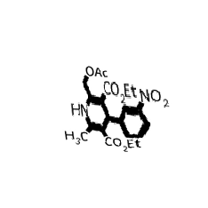 CCOC(=O)C1=C(C)NC(COC(C)=O)=C(C(=O)OCC)C1c1cccc([N+](=O)[O-])c1